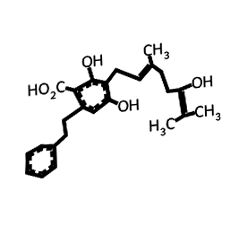 CC(C)=C(O)CC/C(C)=C/Cc1c(O)cc(CCc2ccccc2)c(C(=O)O)c1O